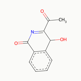 CC(=O)C1=NC(=O)c2ccccc2C1O